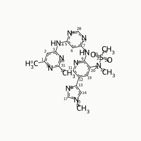 Cc1cc(Nc2cc(Nc3ncc(-c4cn(C)cn4)cc3N(C)S(C)(=O)=O)ncn2)nc(C)n1